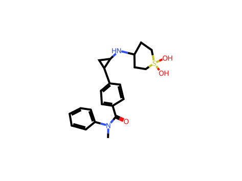 CN(C(=O)c1ccc(C2CC2NC2CCS(O)(O)CC2)cc1)c1ccccc1